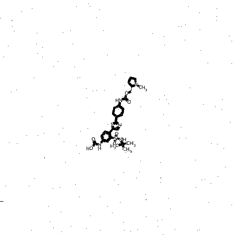 CN1CCC[C@H]1COC(=O)NC1CCC(c2ncc(-c3ccc(NC(=O)O)cc3S(=O)(=O)NC(C)(C)C)s2)CC1